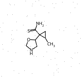 CC1CC1(C(N)=S)C1CNCO1